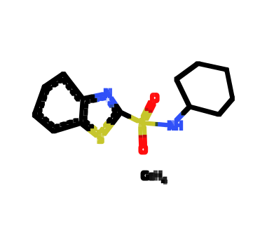 O=S(=O)(NC1CCCCC1)c1nc2ccccc2s1.[GeH4]